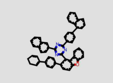 C1=CC(c2ccc(-c3ccc4oc5ccccc5c4c3-c3nc(-c4ccc(-c5cccc6ccccc56)cc4)nc(-c4ccc5ccccc5c4)n3)cc2)=CCC1